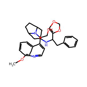 COc1cccc2c(C(CO)N3C4CCC3CC(NC(Cc3ccccc3)C3=COCO3)C4)ccnc12